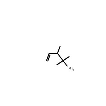 C=CC(C)C(C)(C)[SiH3]